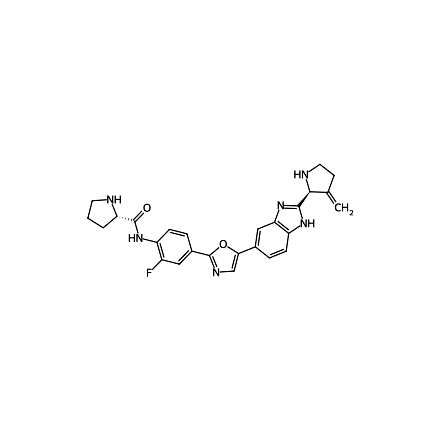 C=C1CCN[C@@H]1c1nc2cc(-c3cnc(-c4ccc(NC(=O)[C@@H]5CCCN5)c(F)c4)o3)ccc2[nH]1